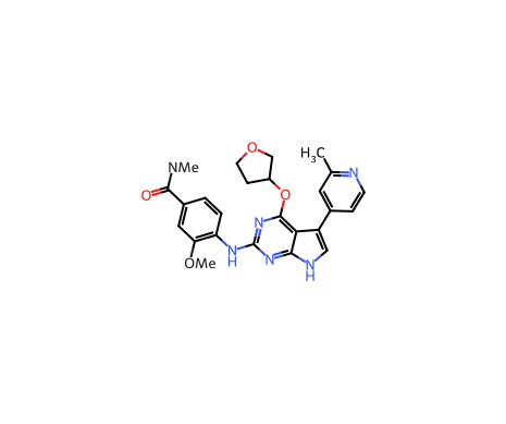 CNC(=O)c1ccc(Nc2nc(OC3CCOC3)c3c(-c4ccnc(C)c4)c[nH]c3n2)c(OC)c1